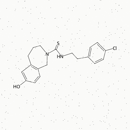 Oc1ccc2c(c1)CCCN(C(=S)NCCc1ccc(Cl)cc1)C2